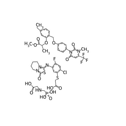 CCc1ccc(COc2ccc(-n3c(=O)cc(C(F)(F)F)n(C)c3=O)cc2)c(OC(C)C(=O)OC)c1.O=C(O)CNCP(=O)(O)O.O=C(O)CSc1cc(N=c2sc(=O)n3n2CCCC3)c(F)cc1Cl